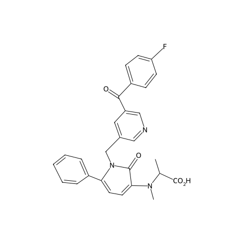 CC(C(=O)O)N(C)c1ccc(-c2ccccc2)n(Cc2cncc(C(=O)c3ccc(F)cc3)c2)c1=O